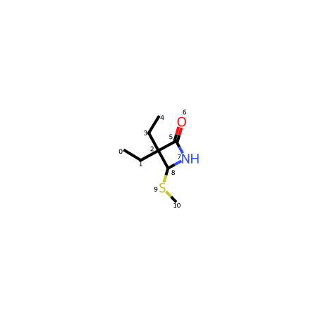 CCC1(CC)C(=O)NC1SC